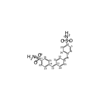 NS(=O)(=O)c1ccc(C=c2ccc(=Cc3ccc(S(N)(=O)=O)cc3)cc2)cc1